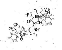 CN[C@H](C(=O)NC(C(=O)N(C)[C@H](/C=C(\C)C(=O)NS(=O)(=O)c1ccccc1NC(=O)C(F)(F)F)C(C)C)C(C)(C)C)C(C)(C)c1ccccc1